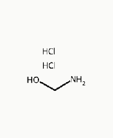 Cl.Cl.NCO